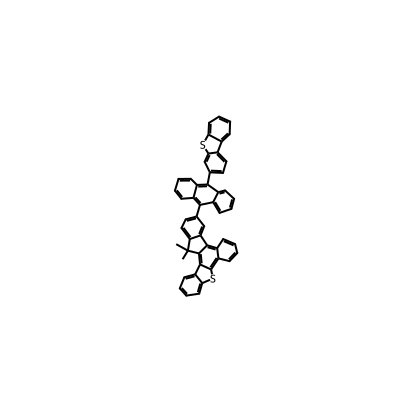 CC1(C)c2ccc(-c3c4ccccc4c(-c4ccc5c(c4)sc4ccccc45)c4ccccc34)cc2-c2c1c1c3ccccc3sc1c1ccccc21